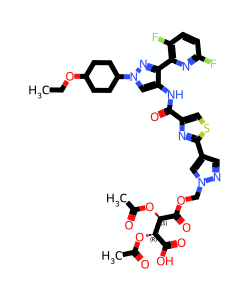 CCOC1CCC(n2cc(NC(=O)c3csc(-c4cnn(COC(=O)[C@@H](OC(C)=O)[C@@H](OC(C)=O)C(=O)O)c4)n3)c(-c3nc(F)ccc3F)n2)CC1